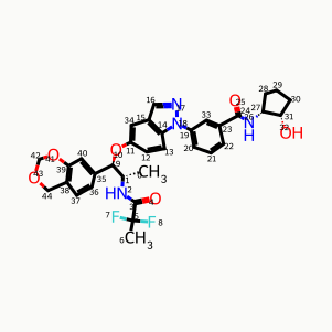 C[C@H](NC(=O)C(C)(F)F)[C@H](Oc1ccc2c(cnn2-c2cccc(C(=O)N[C@@H]3CCC[C@@H]3O)c2)c1)c1ccc2c(c1)OCOC2